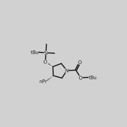 CCC[C@H]1CN(C(=O)OC(C)(C)C)C[C@H]1O[Si](C)(C)C(C)(C)C